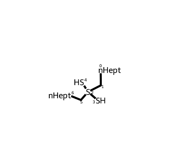 CCCCCCCCS(S)(S)CCCCCCCC